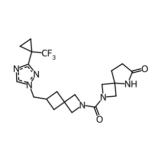 O=C1CCC2(CN(C(=O)N3CC4(CC(Cn5cnc(C6(C(F)(F)F)CC6)n5)C4)C3)C2)N1